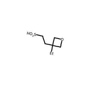 CCC1(CCS(=O)(=O)O)COC1